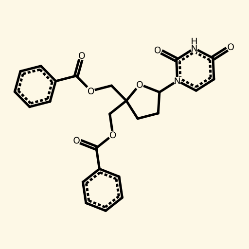 O=C(OCC1(COC(=O)c2ccccc2)CCC(n2ccc(=O)[nH]c2=O)O1)c1ccccc1